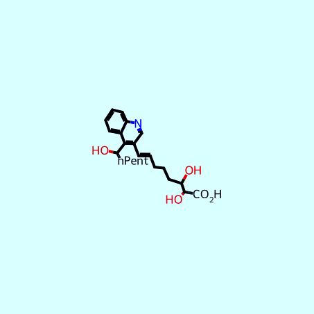 CCCCCC(O)c1c(C=CCCCC(O)C(O)C(=O)O)cnc2ccccc12